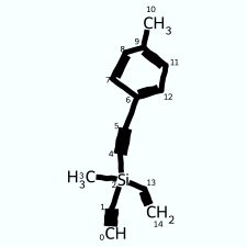 C#C[Si](C)(C#Cc1ccc(C)cc1)C=C